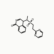 CN(C1C=NC(=O)c2ccccc21)S(=O)(=O)CCc1ncccn1